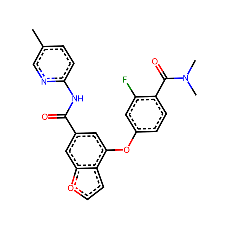 Cc1ccc(NC(=O)c2cc(Oc3ccc(C(=O)N(C)C)c(F)c3)c3ccoc3c2)nc1